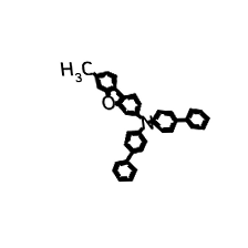 Cc1ccc2c(c1)oc1cc(N(c3ccc(-c4ccccc4)cc3)c3ccc(-c4ccccc4)cc3)ccc12